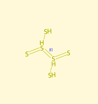 S=[SH](/S)=[SH](=S)\S